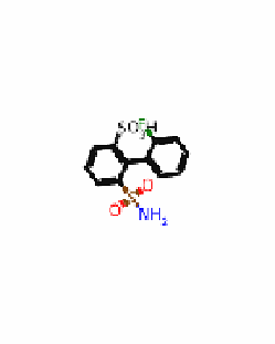 NS(=O)(=O)c1cccc(S(=O)(=O)O)c1-c1ccccc1F